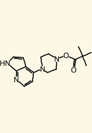 CC(C)(C)C(=O)ON1CCN(c2ccnc3[nH]ccc23)CC1